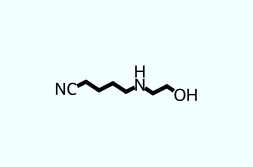 N#CCCCCNCCO